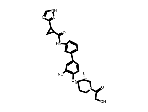 N#Cc1cc(-c2cccc(NC(=O)C3CC3c3nc[nH]n3)c2)ccc1O[C@H]1CCN(C(=O)CO)C[C@H]1F